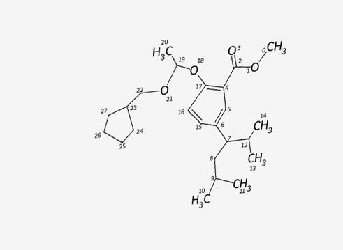 COC(=O)c1cc(C(CC(C)C)C(C)C)ccc1OC(C)OCC1CCCC1